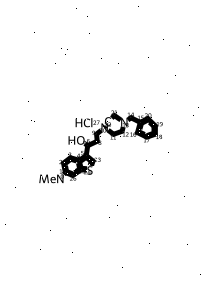 CNc1ccc2c(C(O)CCN3CCN(Cc4ccccc4)CC3)csc2c1.Cl